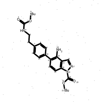 CC(C)(C)OC(=O)NCCc1ccc(-c2ccc3c(cnn3C(=O)OC(C)(C)C)c2N)cc1